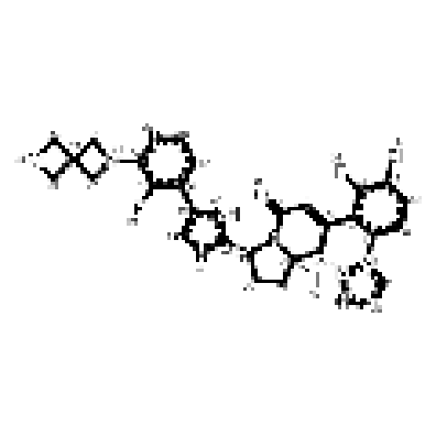 O=C1C=C(c2c(-n3cnnn3)ccc(Cl)c2F)C[C@H]2CC[C@@H](c3ncc(-c4ccnc(N5CC6(COC6)C5)c4F)[nH]3)N12